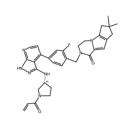 C=CC(=O)N1CC[C@@H](Nc2n[nH]c3nccc(-c4ccc(CN5CCn6c(cc7c6CC(C)(C)C7)C5=O)c(F)c4)c23)C1